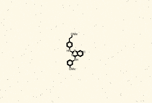 COCCc1ccc(Nc2nc(Nc3cccc(OC)c3)c3ccccc3n2)cc1.Cl